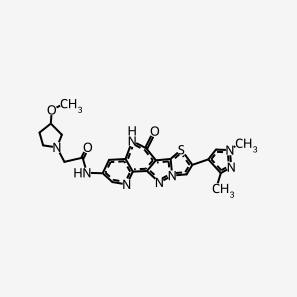 COC1CCN(CC(=O)Nc2cnc3c(c2)[nH]c(=O)c2c3nn3cc(-c4cn(C)nc4C)sc23)C1